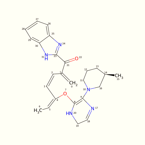 C=C(/C=C\C(=C/C)OC1=C(N2CCC[C@@H](C)C2)N=CCN1)C(=O)c1nc2ccccc2[nH]1